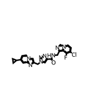 O=C(NCc1ncn2ccc(Cl)c(F)c12)c1cn(Cc2cn3ccc(C4CC4)cc3n2)nn1